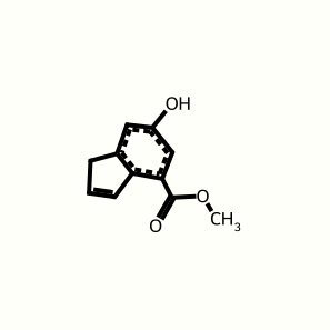 COC(=O)c1cc(O)cc2c1C=CC2